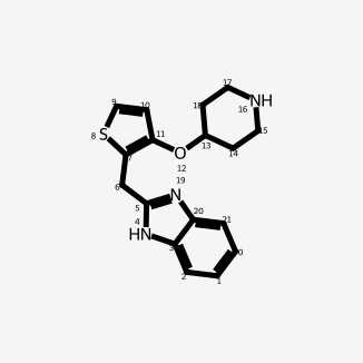 c1ccc2[nH]c(Cc3sccc3OC3CCNCC3)nc2c1